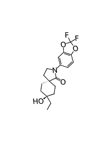 CC[C@]1(O)CC[C@@]2(CCN(c3ccc4c(c3)OC(F)(F)O4)C2=O)CC1